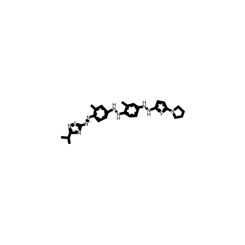 Cc1cc(NNc2ccc(NNc3ccc(N4CCCC4)s3)cc2C)ccc1/N=N/c1nc(C(C)C)ns1